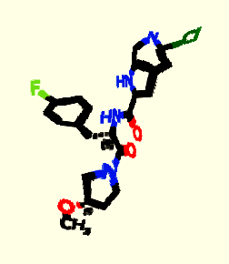 CO[C@H]1CCN(C(=O)[C@H](Cc2ccc(F)cc2)NC(=O)C2Cc3cc(Cl)ncc3N2)C1